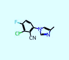 Cc1cn(-c2ccc(F)c(Cl)c2C#N)cn1